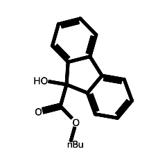 CCCCOC(=O)C1(O)c2ccccc2-c2ccccc21